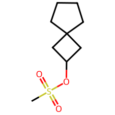 CS(=O)(=O)OC1CC2(CCCC2)C1